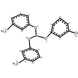 Cc1cccc(OB(Oc2cccc(C)c2)Oc2cccc(C)c2)c1